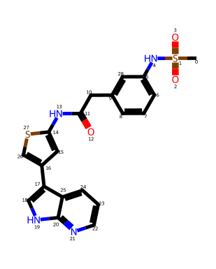 CS(=O)(=O)Nc1cccc(CC(=O)Nc2cc(-c3c[nH]c4ncccc34)cs2)c1